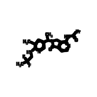 Cc1cc(C(C)N2Cc3c(ccnc3NC(=O)C(C)C)C2=O)cnc1NCC(C)(F)F